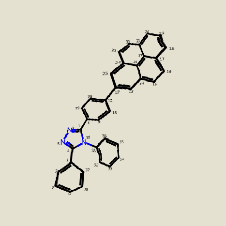 c1ccc(-c2nnc(-c3ccc(-c4cc5ccc6cccc7ccc(c4)c5c67)cc3)n2-c2ccccc2)cc1